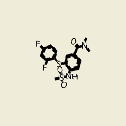 CN(C)C(=O)c1ccc(NS(C)(=O)=O)c(Sc2ccc(F)cc2F)c1